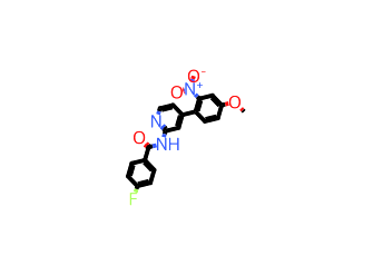 COc1ccc(-c2ccnc(NC(=O)c3ccc(F)cc3)c2)c([N+](=O)[O-])c1